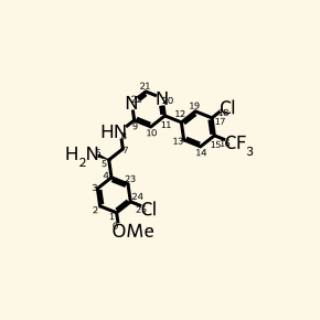 COc1ccc([C@@H](N)CNc2cc(-c3ccc(C(F)(F)F)c(Cl)c3)ncn2)cc1Cl